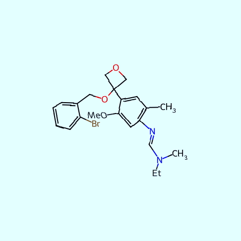 CCN(C)C=Nc1cc(OC)c(C2(OCc3ccccc3Br)COC2)cc1C